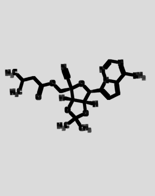 CC(C)CC(=O)OC[C@@]1(C#N)O[C@@H](c2ccc3c(N)ncnn23)[C@@H]2OC(C)(C)O[C@@H]21